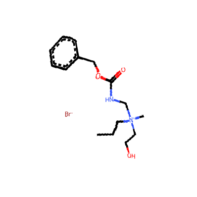 CCC[N+](C)(CCO)CNC(=O)OCc1ccccc1.[Br-]